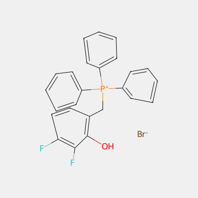 Oc1c(C[P+](c2ccccc2)(c2ccccc2)c2ccccc2)ccc(F)c1F.[Br-]